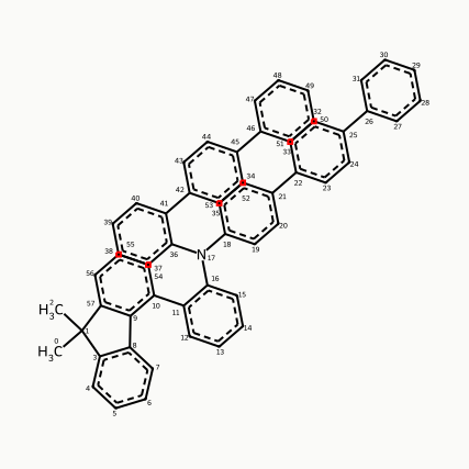 CC1(C)c2ccccc2-c2c(-c3ccccc3N(c3ccc(-c4ccc(-c5ccccc5)cc4)cc3)c3ccccc3-c3ccc(-c4ccccc4)cc3)cccc21